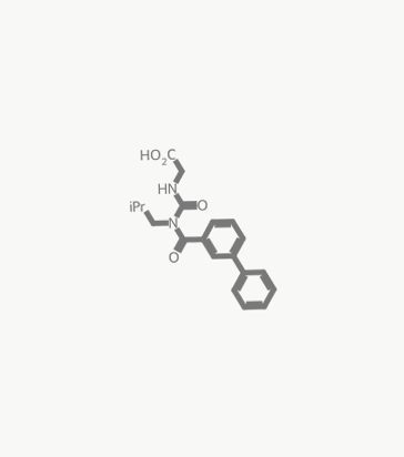 CC(C)CN(C(=O)NCC(=O)O)C(=O)c1cccc(-c2ccccc2)c1